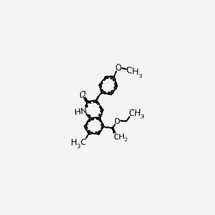 C=C(OCC)c1cc(C)cc2[nH]c(=O)c(-c3ccc(OC)cc3)cc12